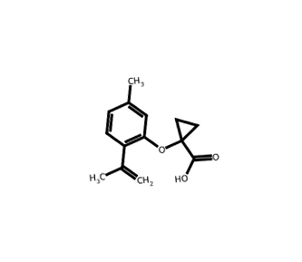 C=C(C)c1ccc(C)cc1OC1(C(=O)O)CC1